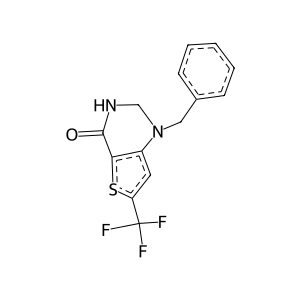 O=C1NCN(Cc2ccccc2)c2cc(C(F)(F)F)sc21